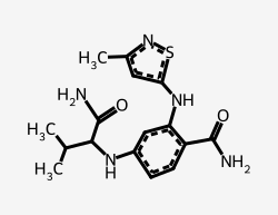 Cc1cc(Nc2cc(NC(C(N)=O)C(C)C)ccc2C(N)=O)sn1